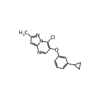 Cc1cc2ncc(Oc3cccc(C4CC4)c3)c(Cl)n2n1